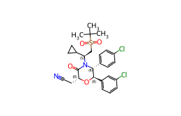 CC(C)(C)S(=O)(=O)C[C@H](C1CC1)N1C(=O)[C@@H](CC#N)O[C@H](c2cccc(Cl)c2)[C@H]1c1ccc(Cl)cc1